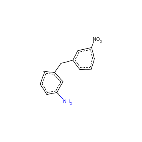 Nc1cc[c]c(Cc2cccc([N+](=O)[O-])c2)c1